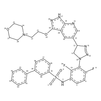 O=S(=O)(Nc1ccc(F)c(N2CC(c3cnc4[nH]nc(OCCN5CCOCC5)c4c3)N=N2)c1F)c1cccc(-c2ccccc2)c1